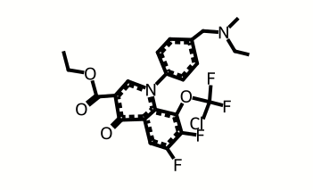 CCOC(=O)c1cn(-c2ccc(CN(C)CC)cc2)c2c(OC(F)(F)Cl)c(F)c(F)cc2c1=O